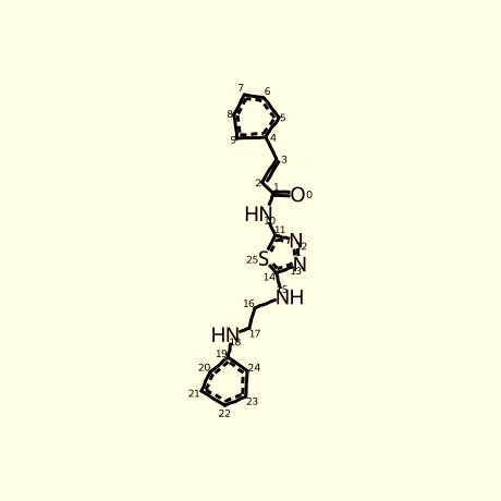 O=C(C=Cc1ccccc1)Nc1nnc(NCCNc2ccccc2)s1